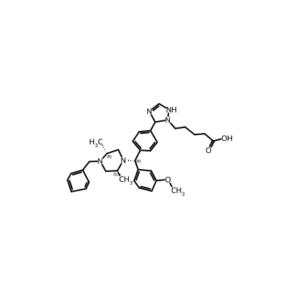 COc1cccc([C@@H](c2ccc(C3N=CNN3CCCCC(=O)O)cc2)N2C[C@@H](C)N(Cc3ccccc3)C[C@@H]2C)c1